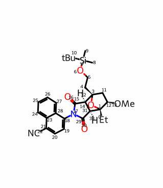 CC[C@@]12O[C@@](CCO[Si](C)(C)C(C)(C)C)(C[C@H]1OC)[C@@H]1C(=O)N(c3ccc(C#N)c4ccccc34)C(=O)[C@@H]12